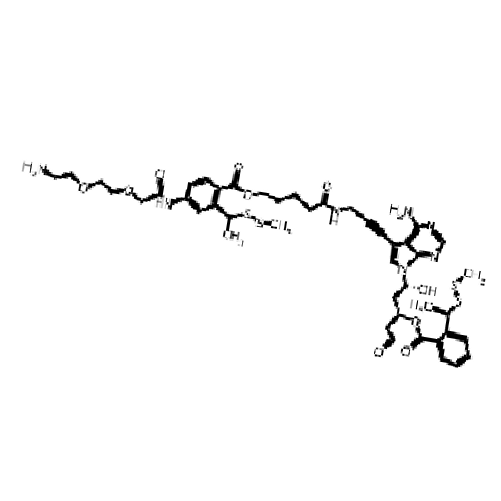 CSSC(C)c1cc(NC(=O)COCCOCCN)ccc1C(=O)OCCCCC(=O)NCC#Cc1cn([C@H](O)C[C@H](CC=O)OC(=O)c2ccccc2C(C)SSC)c2ncnc(N)c12